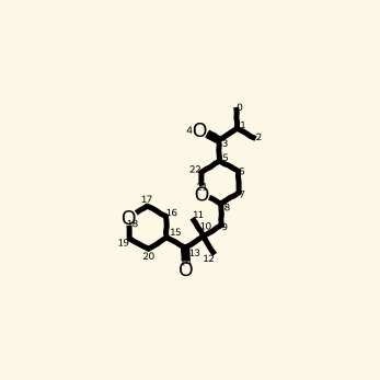 CC(C)C(=O)C1CCC(CC(C)(C)C(=O)C2CCOCC2)OC1